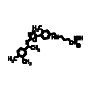 Cc1ccc(C(C)Sc2nnc(-c3ccc(CNCCCO[PH](=O)O)cc3C)o2)cc1C